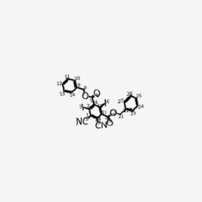 N#Cc1c(I)c(C(=O)OCc2ccccc2)c(I)c(C(=O)OCc2ccccc2)c1C#N